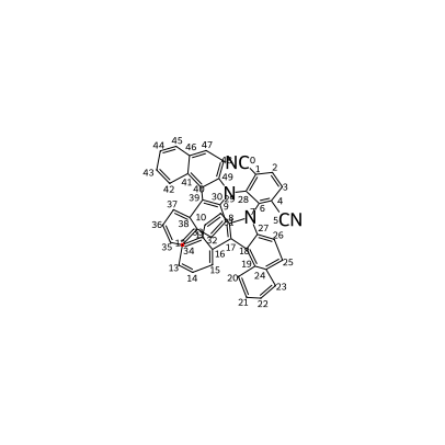 N#Cc1ccc(C#N)c(-n2c3ccc4ccccc4c3c3c4ccccc4ccc32)c1-n1c2ccc3ccccc3c2c2c3ccccc3ccc21